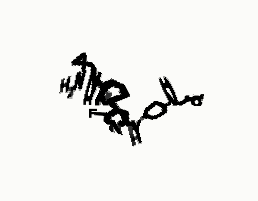 COCCN[C@H]1CC[C@H](Nc2cc(-c3cccc(NCC4(N)CC4)n3)c(F)cn2)CC1